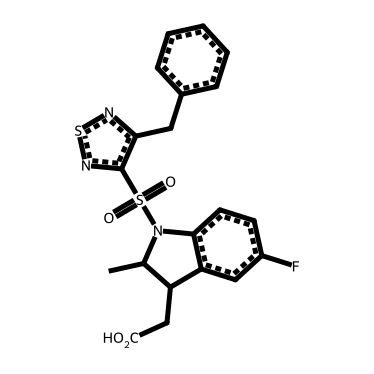 CC1C(CC(=O)O)c2cc(F)ccc2N1S(=O)(=O)c1nsnc1Cc1ccccc1